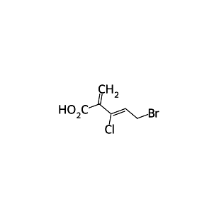 C=C(C(=O)O)/C(Cl)=C/CBr